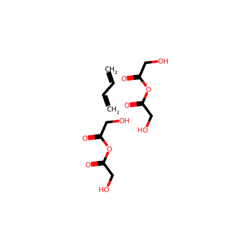 C=CC=C.O=C(CO)OC(=O)CO.O=C(CO)OC(=O)CO